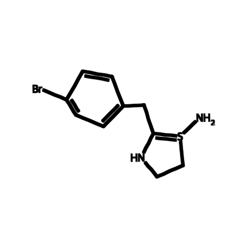 NS1=C(Cc2ccc(Br)cc2)NCC1